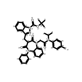 CC(C)N(C(=O)CN1C(=O)C(Cc2nn(C(=O)OC(C)(C)C)c3ccccc23)C(=O)N(c2ccccc2)c2ccccc21)c1ccc(F)cc1